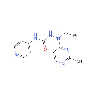 CC(C)CN(NC(=O)Nc1ccncc1)c1ccnc(C#N)n1